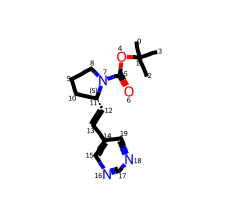 CC(C)(C)OC(=O)N1CCC[C@H]1C=Cc1cncnc1